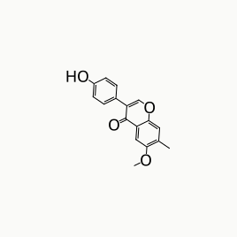 COc1cc2c(=O)c(-c3ccc(O)cc3)coc2cc1C